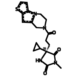 CN1C(=O)N[C@@](CCC(=O)N2CCn3c(cc4sccc43)C2)(C2CC2)C1=O